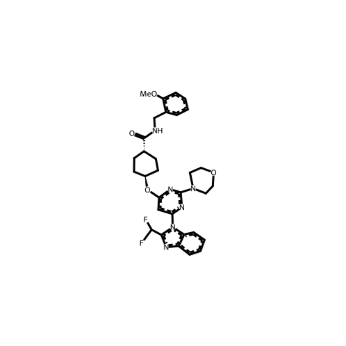 COc1ccccc1CNC(=O)[C@H]1CC[C@H](Oc2cc(-n3c(C(F)F)nc4ccccc43)nc(N3CCOCC3)n2)CC1